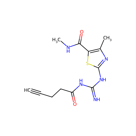 C#CCCC(=O)NC(=N)Nc1nc(C)c(C(=O)NC)s1